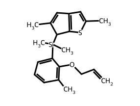 C=CCOc1c(C)cccc1[Si](C)(C)C1C(C)=Cc2cc(C)sc21